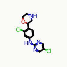 Clc1cnc(Nc2ccc(C3CNCCO3)c(Cl)c2)nc1